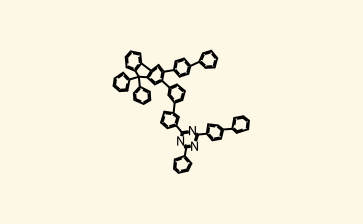 c1ccc(-c2ccc(-c3nc(-c4ccccc4)nc(-c4cccc(-c5cccc(-c6cc7c(cc6-c6ccc(-c8ccccc8)cc6)-c6ccccc6C7(c6ccccc6)c6ccccc6)c5)c4)n3)cc2)cc1